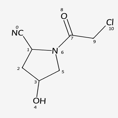 N#CC1CC(O)CN1C(=O)CCl